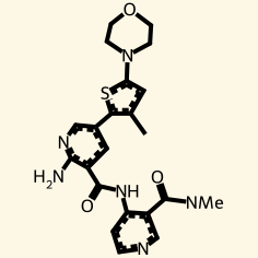 CNC(=O)c1cnccc1NC(=O)c1cc(-c2sc(N3CCOCC3)cc2C)cnc1N